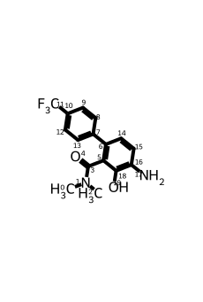 CN(C)C(=O)c1c(-c2ccc(C(F)(F)F)cc2)ccc(N)c1O